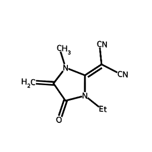 C=c1c(=O)n(CC)c(=C(C#N)C#N)n1C